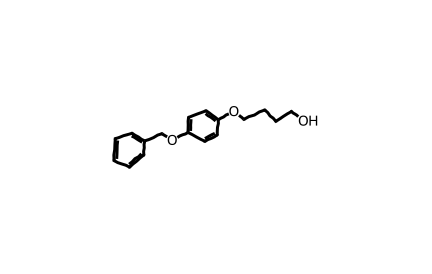 OCCCCOc1ccc(OCc2ccccc2)cc1